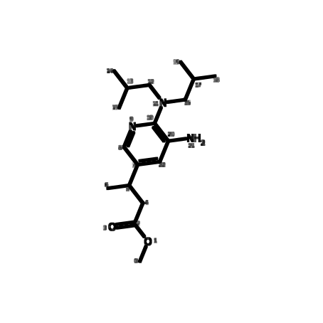 COC(=O)CC(C)c1cnc(N(CC(C)C)CC(C)C)c(N)c1